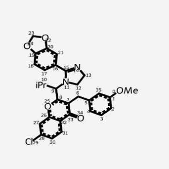 COc1cccc(Cc2c(C(C(C)C)N3CCN=C3c3ccc4c(c3)OCO4)oc3cc(Cl)ccc3c2=O)c1